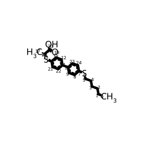 CCCCCCSc1ccc(-c2ccc(S[C@H](C)C(=O)O)cc2)cc1